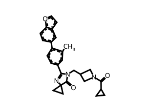 Cc1cc(C2=NC3(CC3)C(=O)N2CC2CN(C(=O)C3CC3)C2)ccc1-c1ccc2occc2c1